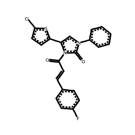 O=C(C=Cc1ccc(F)cc1)n1c(-c2ccc(Cl)s2)cn(-c2ccccc2)c1=O